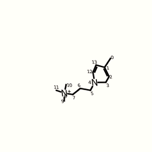 CC1=CCN(CCC[N+](C)(C)C)C=C1